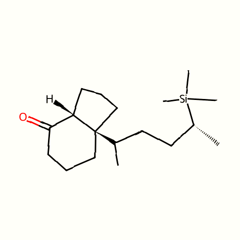 CC(CC[C@@H](C)[Si](C)(C)C)[C@@]12CCCC(=O)[C@@H]1CCC2